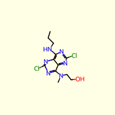 CCCNc1nc(Cl)nc2c(N(C)CCO)nc(Cl)nc12